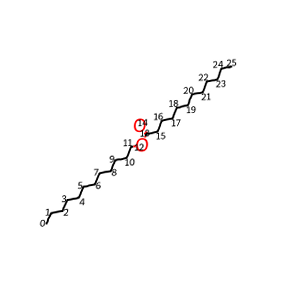 CCCCCCCCCCCCOC(=O)CCCCCCCCCCC